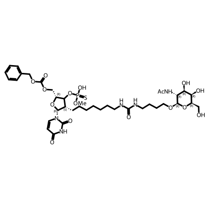 COP(O)(=S)OC1[C@@H](COC(=O)OCc2ccccc2)O[C@@H](n2ccc(=O)[nH]c2=O)[C@H]1CCCCCCCNC(=O)NCCCCO[C@@H]1O[C@H](CO)[C@H](O)[C@H](O)[C@H]1NC(C)=O